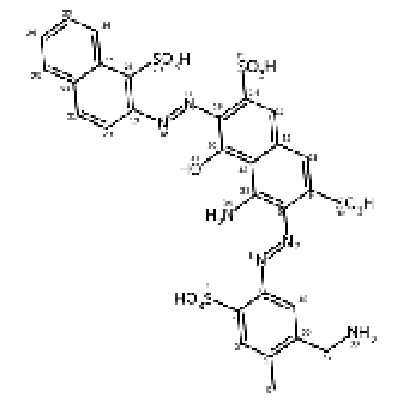 Cc1cc(S(=O)(=O)O)c(N=Nc2c(S(=O)(=O)O)cc3cc(S(=O)(=O)O)c(N=Nc4ccc5ccccc5c4S(=O)(=O)O)c(O)c3c2N)cc1CN